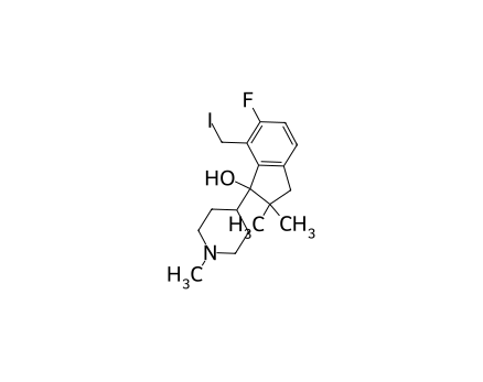 CN1CCC(C2(O)c3c(ccc(F)c3CI)CC2(C)C)CC1